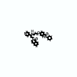 O=C(NC1CCCCC1)c1ccc(OCCCNC(CCn2ccc3ccccc3c2=O)c2ccncc2)cc1